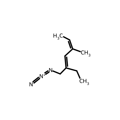 C/C=C(C)\C=C(/CC)CN=[N+]=[N-]